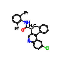 Cc1ccccc1-c1c(CC(=O)Nc2c(C(C)C)cccc2C(C)C)cnc2ccc(Cl)cc12